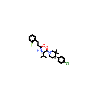 CC(C)[C@@H](NC(=O)CCc1ccccc1F)C(=O)N1CC[C@H](c2ccc(Cl)cc2)C(C)(C)C1